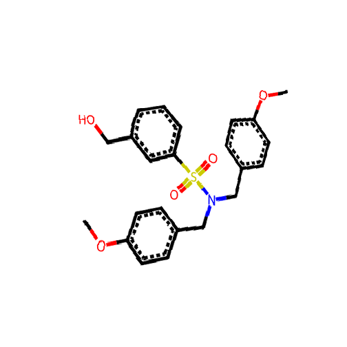 COc1ccc(CN(Cc2ccc(OC)cc2)S(=O)(=O)c2cccc(CO)c2)cc1